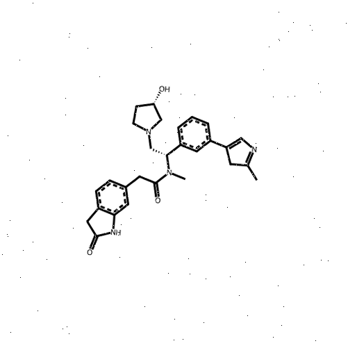 CC1=NC=C(c2cccc([C@@H](CN3CC[C@H](O)C3)N(C)C(=O)Cc3ccc4c(c3)NC(=O)C4)c2)C1